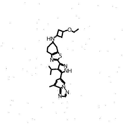 CCOC1CC(NC2CCc3nc(-c4n[nH]c(-c5cc(C)c6ncnn6c5)c4C(C)C)sc3C2)C1